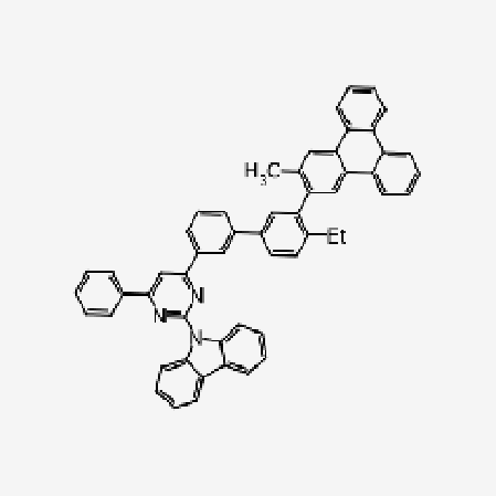 CCc1ccc(-c2cccc(-c3cc(-c4ccccc4)nc(-n4c5ccccc5c5ccccc54)n3)c2)cc1-c1cc2c3ccccc3c3ccccc3c2cc1C